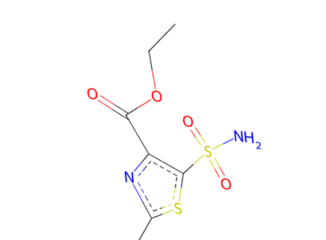 CCOC(=O)c1nc(C)sc1S(N)(=O)=O